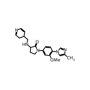 COc1cc(N2CCC(NCC3C=CN=CC3)C2=O)ccc1-n1cnc(C)c1